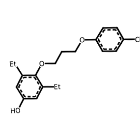 CCc1cc(O)cc(CC)c1OCCCOc1ccc(Cl)cc1